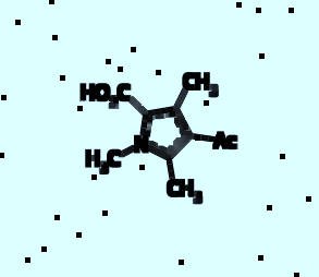 CC(=O)c1c(C)c(C(=O)O)n(C)c1C